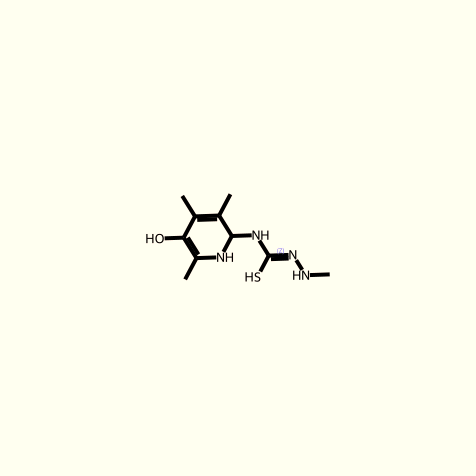 CN/N=C(\S)NC1NC(C)=C(O)C(C)=C1C